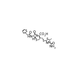 CC1SC(SCC2=C(C(=O)O)N3C(=O)C(NC(=O)Cc4cccs4)[C@@H]3SC2)=NN1C(N)=O